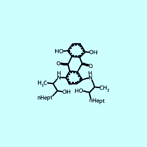 CCCCCCCC(O)C(C)Nc1ccc(NC(C)C(O)CCCCCCC)c2c1C(=O)c1c(O)ccc(O)c1C2=O